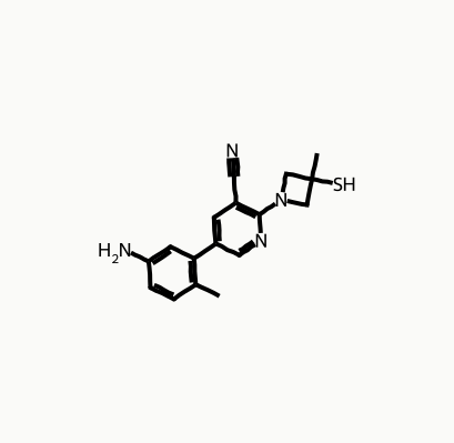 Cc1ccc(N)cc1-c1cnc(N2CC(C)(S)C2)c(C#N)c1